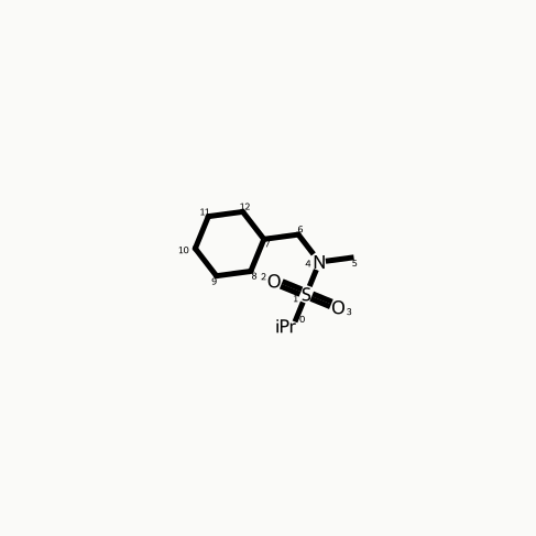 CC(C)S(=O)(=O)N(C)CC1CCCCC1